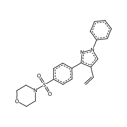 C=Cc1cn(-c2ccccc2)nc1-c1ccc(S(=O)(=O)N2CCOCC2)cc1